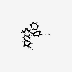 O=C(O)c1ccc(-n2c(N3CCCCC3)nc(=O)n(Cc3ccc(C(F)(F)F)cc3)c2=O)cc1